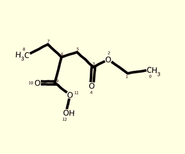 CCOC(=O)CC(CC)C(=O)OO